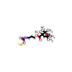 CC(C)(C)CC(C)(C(=O)OCCCNC(=O)OS)C(C)(C)C